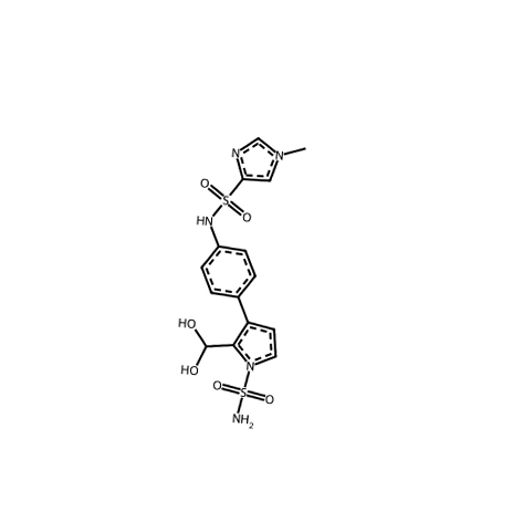 Cn1cnc(S(=O)(=O)Nc2ccc(-c3ccn(S(N)(=O)=O)c3C(O)O)cc2)c1